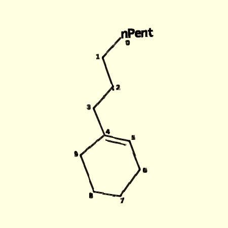 CCCCCC[CH]CC1=CCCCC1